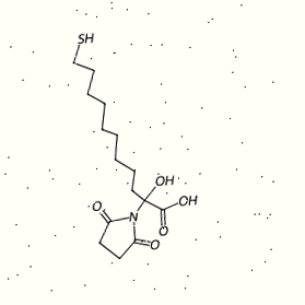 O=C1CCC(=O)N1C(O)(CCCCCCCCCS)C(=O)O